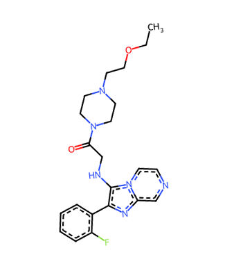 CCOCCN1CCN(C(=O)CNc2c(-c3ccccc3F)nc3cnccn23)CC1